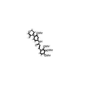 COc1cc(NC(=O)C=Cc2ccc(OC)c(OC)c2OC)ccc1C1=CCOC=C1C